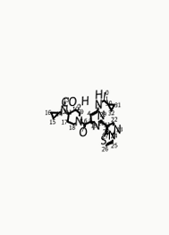 C[C@H](Nc1cc(C(=O)N2CCC(N(C(=O)O)C3CC3)CC2)nc(-c2cnn3ccsc23)n1)C1CC1